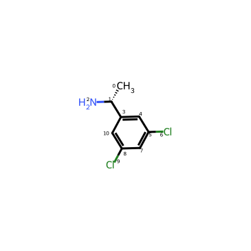 C[C@@H](N)c1cc(Cl)cc(Cl)c1